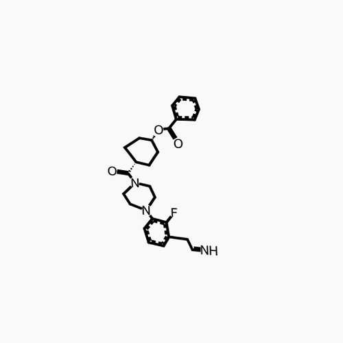 N=CCc1cccc(N2CCN(C(=O)[C@H]3CC[C@@H](OC(=O)c4ccccc4)CC3)CC2)c1F